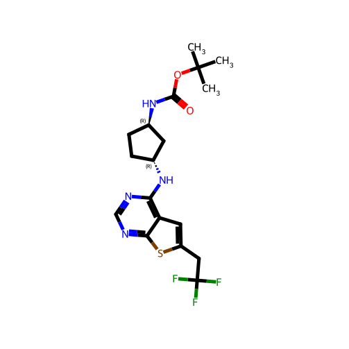 CC(C)(C)OC(=O)N[C@@H]1CC[C@@H](Nc2ncnc3sc(CC(F)(F)F)cc23)C1